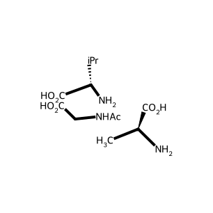 CC(=O)NCC(=O)O.CC(C)[C@H](N)C(=O)O.C[C@H](N)C(=O)O